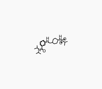 CC(C)N(C(=O)c1cccc(NCC2CCC(NS(=O)(=O)C(C)C)CC2)c1)C(C)C